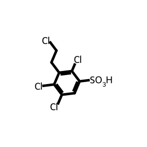 O=S(=O)(O)c1cc(Cl)c(Cl)c(CCCl)c1Cl